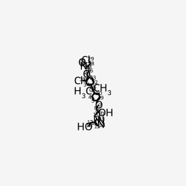 CC(C)(c1ccc(OC[C@H](O)Cn2nncc2CO)cc1)c1ccc(OC[C@H](CCl)N=O)c(Cl)c1